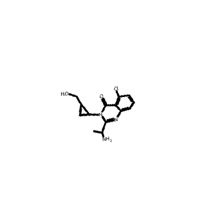 CC(N)c1nc2cccc(Cl)c2c(=O)n1C1CC1CO